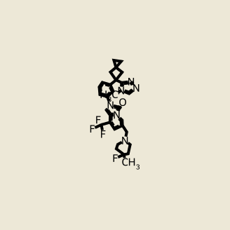 Cn1cnnc1C1(c2cccc(-n3cc4c(C(F)(F)F)cc(CN5CCC(C)(F)CC5)cn4c3=O)c2)CC2(CC2)C1